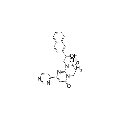 CC1(C)CCn2c(nc(-c3ccncn3)cc2=O)N1C[C@H](O)c1ccc2ccccc2c1